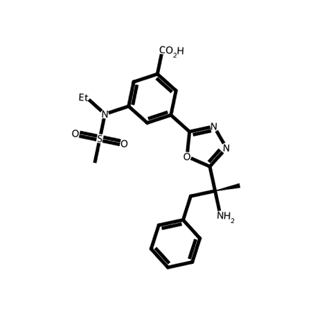 CCN(c1cc(C(=O)O)cc(-c2nnc([C@](C)(N)Cc3ccccc3)o2)c1)S(C)(=O)=O